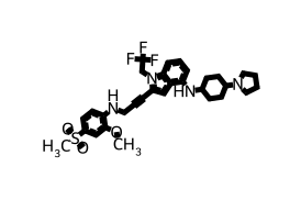 COc1cc(S(C)(=O)=O)ccc1NCC#Cc1cc2c(NC3CCC(N4CCCC4)CC3)cccc2n1CC(F)(F)F